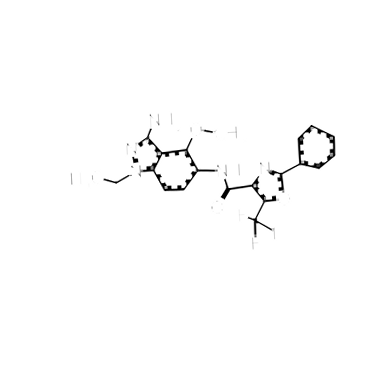 CCn1nc(N)c2c(OC)c(NC(=O)c3nc(-c4ccccc4)oc3C(F)(F)F)ccc21